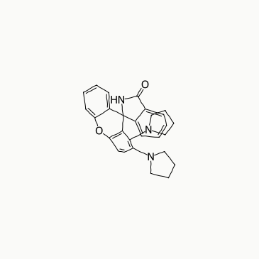 O=C1NC2(c3ccccc3Oc3ccc(N4CCCC4)c(N4CCCC4)c32)c2ccccc21